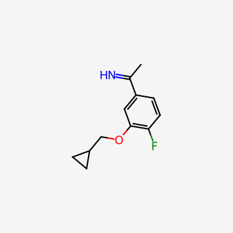 CC(=N)c1ccc(F)c(OCC2CC2)c1